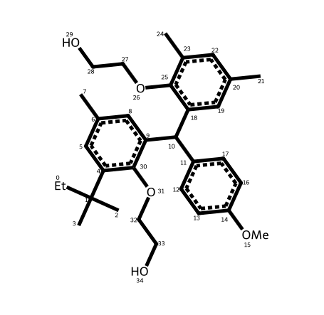 CCC(C)(C)c1cc(C)cc(C(c2ccc(OC)cc2)c2cc(C)cc(C)c2OCCO)c1OCCO